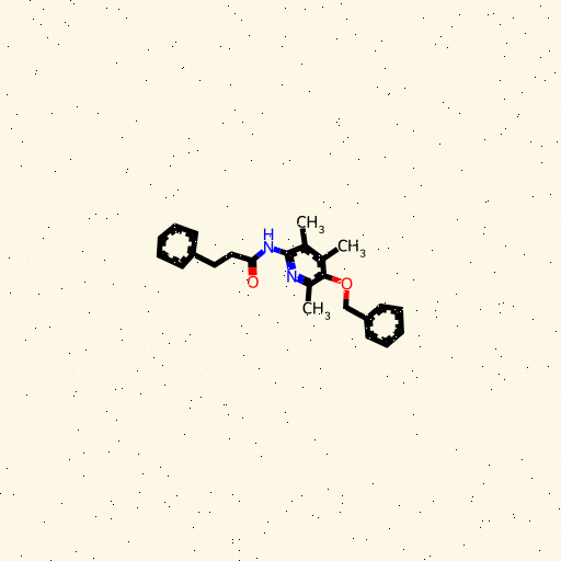 Cc1nc(NC(=O)CCc2ccccc2)c(C)c(C)c1OCc1ccccc1